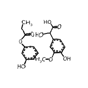 CCC(=O)Oc1cccc(O)c1.COc1cc(C(O)C(=O)O)ccc1O